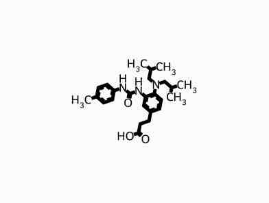 Cc1ccc(NC(=O)Nc2cc(CCC(=O)O)ccc2N(CC(C)C)CC(C)C)cc1